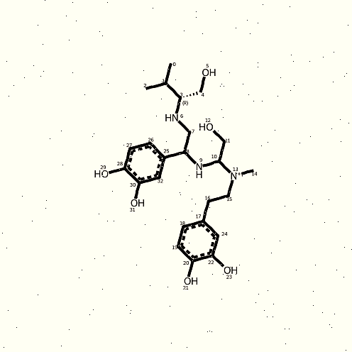 CC(C)[C@H](CO)NCC(NC(CO)[N+](C)CCc1ccc(O)c(O)c1)c1ccc(O)c(O)c1